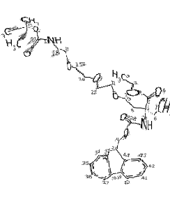 CCOC(=O)[C@](CC)(CCOCCOCCOCCNC(=O)OC(C)(C)C)NC(=O)OCC1c2ccccc2-c2ccccc21